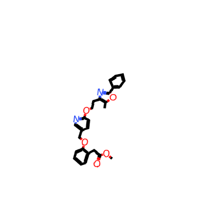 COC(=O)Cc1ccccc1OCc1ccc(OCCc2nc(-c3ccccc3)oc2C)nc1